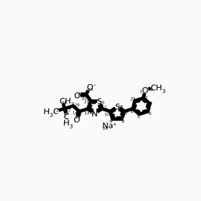 COc1cccc(-c2ccc(-c3nc(C(=O)CC(C)(C)C)c(C(=O)[O-])s3)s2)c1.[Na+]